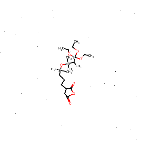 CCO[Si](OCC)(OCC)C(C)[Si](C)(C)O[Si](C)(C)CCCC1CC(=O)OC1=O